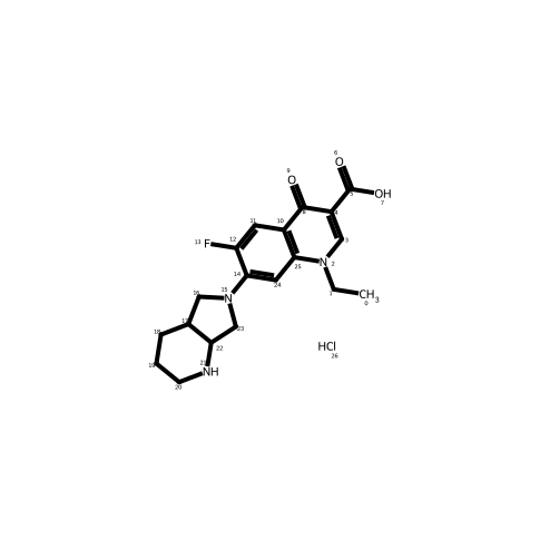 CCn1cc(C(=O)O)c(=O)c2cc(F)c(N3CC4CCCNC4C3)cc21.Cl